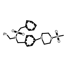 CC(C)CN(Cc1ccc(N2CCN(S(C)(=O)=O)CC2)cc1)S(=O)(=O)Cc1ccccc1